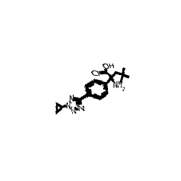 CC(C)(C)CC(N)(C(=O)O)c1ccc(-c2nnn(C3CC3)n2)cc1